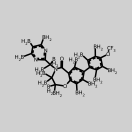 Bc1nc(C(B)(B)N2C(=O)c3c(B)c(-c4c(B)c(B)c(OC(F)(F)F)c(B)c4B)c(B)c(B)c3OC(B)(B)C2(B)B)nc(B)c1B